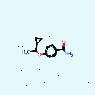 CC(Oc1ccc(C(N)=O)cc1)C1CC1